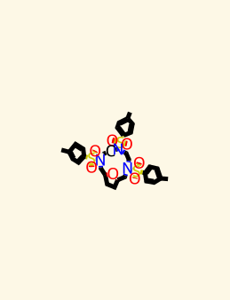 Cc1ccc(S(=O)(=O)N2CCN(S(=O)(=O)c3ccc(C)cc3)CC3CCC(CN(S(=O)(=O)c4ccc(C)cc4)CC2)O3)cc1